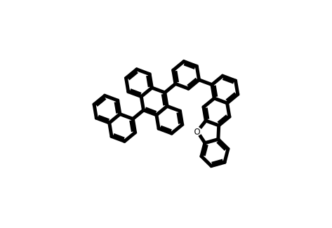 c1cc(-c2cccc3cc4c(cc23)oc2ccccc24)cc(-c2c3ccccc3c(-c3cccc4ccccc34)c3ccccc23)c1